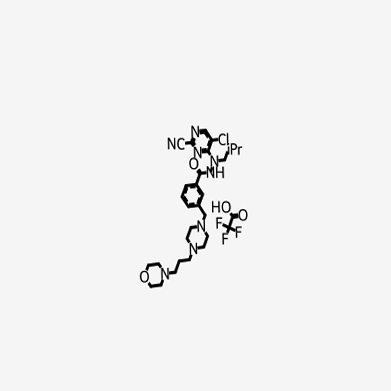 CC(C)CN(NC(=O)c1cccc(CN2CCN(CCCN3CCOCC3)CC2)c1)c1nc(C#N)ncc1Cl.O=C(O)C(F)(F)F